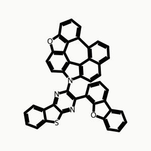 c1cc2c3c(c1)ccc1c3c3c4c(ccc3n1-c1nc3c(nc1-c1cccc5c1oc1ccccc15)sc1ccccc13)oc1cccc-2c14